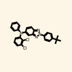 CC(C)(C)c1ccc(-n2nc3ccc(N(c4ccccc4)c4cccc(Cl)c4Cl)cc3n2)cc1